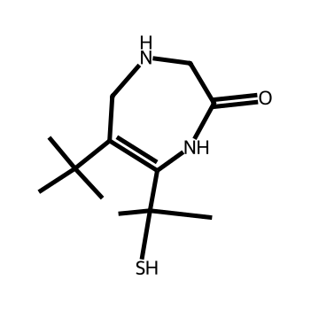 CC(C)(C)C1=C(C(C)(C)S)NC(=O)CNC1